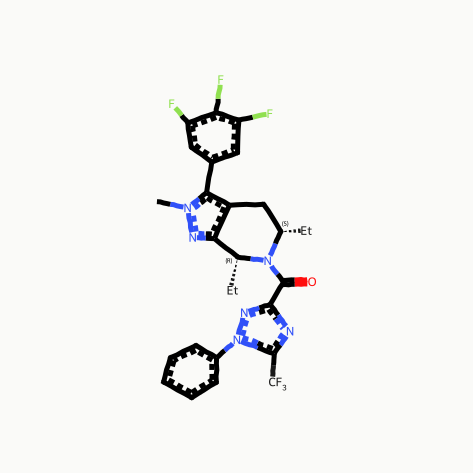 CC[C@H]1Cc2c(nn(C)c2-c2cc(F)c(F)c(F)c2)[C@@H](CC)N1C(=O)c1nc(C(F)(F)F)n(-c2ccccc2)n1